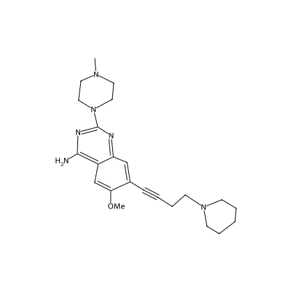 COc1cc2c(N)nc(N3CCN(C)CC3)nc2cc1C#CCCN1CCCCC1